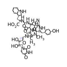 C[C@H](NC(=O)N[C@@H](Cc1c[nH]c2ccccc12)C(=O)O)C(=O)N[C@H](C(=O)N/C=C1\OC(n2ccc(=O)[nH]c2=O)[C@H](O)[C@@H]1O)[C@H](C)N(C)C(=O)[C@H](Cc1ccc(O)cc1)NC(=O)CN